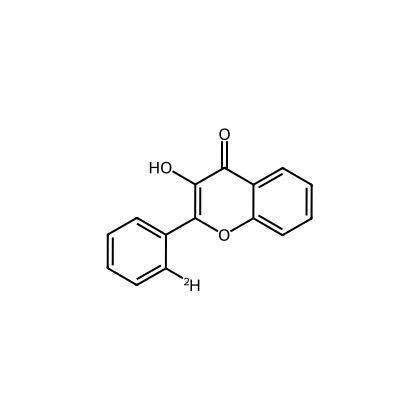 [2H]c1ccccc1-c1oc2ccccc2c(=O)c1O